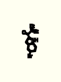 CCN(CC)C(=O)c1cc2cc(Br)ccc2[nH]1